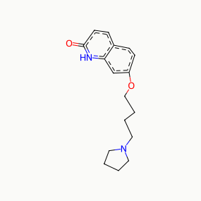 O=c1ccc2ccc(OCCCCN3CCCC3)cc2[nH]1